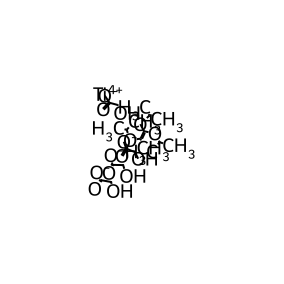 CC(OC(C)C)=C(OC(C)C)OC(C)C.O=C([O-])CO.O=C([O-])CO.O=C([O-])CO.O=C([O-])CO.[Ti+4]